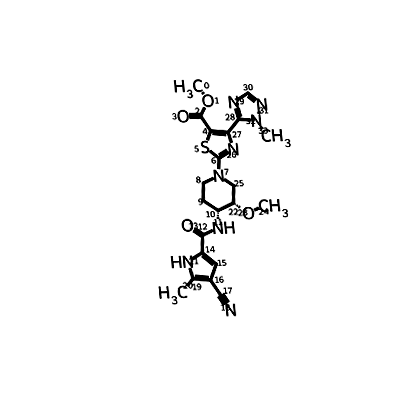 COC(=O)c1sc(N2CC[C@@H](NC(=O)c3cc(C#N)c(C)[nH]3)[C@@H](OC)C2)nc1-c1ncnn1C